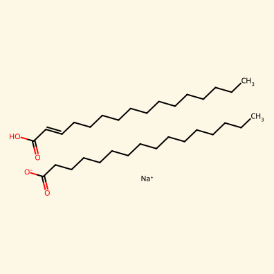 CCCCCCCCCCCCCC=CC(=O)O.CCCCCCCCCCCCCCCC(=O)[O-].[Na+]